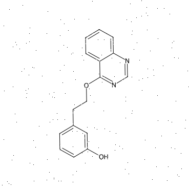 Oc1cccc(CCOc2ncnc3ccccc23)c1